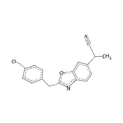 CC(C#N)c1ccc2nc(Cc3ccc(Cl)cc3)oc2c1